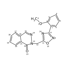 COc1ccccc1-c1noc(Cn2ncc3ccccc3c2=O)n1